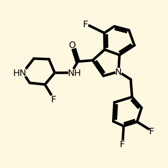 O=C(NC1CCNCC1F)c1cn(Cc2ccc(F)c(F)c2)c2cccc(F)c12